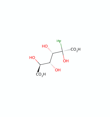 O=C(O)[C@@H](O)[C@@H](O)[C@H](O)[C@](O)([18F])C(=O)O